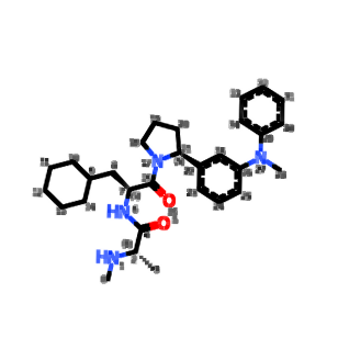 CN[C@@H](C)C(=O)N[C@@H](CC1CCCCC1)C(=O)N1CCC[C@H]1c1cccc(N(C)c2ccccc2)c1